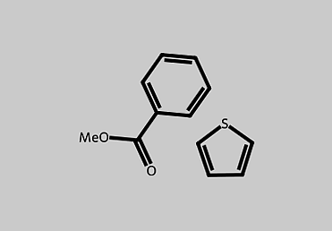 COC(=O)c1ccccc1.c1ccsc1